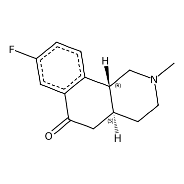 CN1CC[C@H]2CC(=O)c3cc(F)ccc3[C@@H]2C1